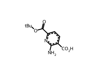 CC(C)(C)OC(=O)c1ccc(C(=O)O)c(N)n1